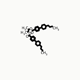 CCCCC1CCC(c2ccc(C(=O)OC(C)C(C)OC(=O)c3ccc(C4CCC(CCCC)CC4)cc3)cc2)CC1